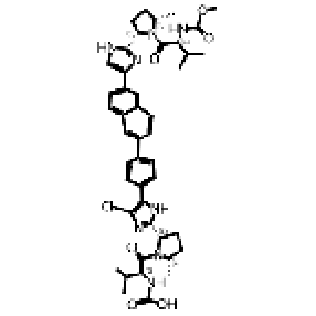 COC(=O)N[C@H](C(=O)N1[C@@H](C)CC[C@H]1c1nc(-c2ccc3cc(-c4ccc(-c5[nH]c([C@@H]6CC[C@H](C)N6C(=O)[C@@H](NC(=O)O)C(C)C)nc5Cl)cc4)ccc3c2)c[nH]1)C(C)C